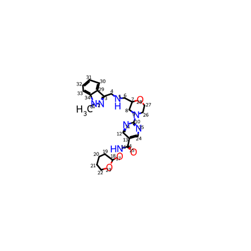 Cn1nc(CNCC2CN(c3ncc(C(=O)NOC4CCCCO4)cn3)CCO2)c2ccccc21